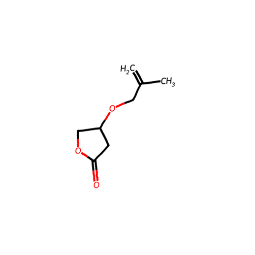 C=C(C)COC1COC(=O)C1